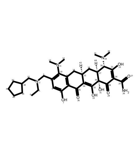 CCN(Cc1cc(O)c2c(c1N(C)C)C[C@H]1C[C@H]3[C@H](N(C)C)C(O)=C(C(N)=O)C(=O)[C@@]3(O)C(O)=C1C2=O)CC1CCCC1